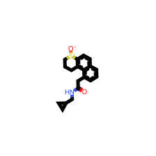 O=C(Cc1cccc2ccc3c(c12)CCC[S+]3[O-])NCC1CC1